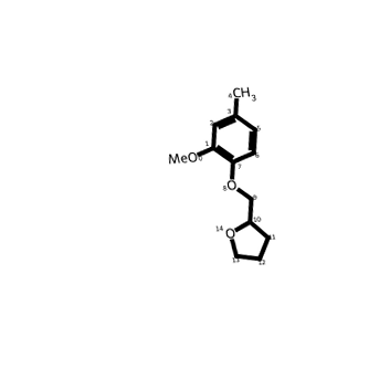 COc1cc(C)ccc1OCC1CCCO1